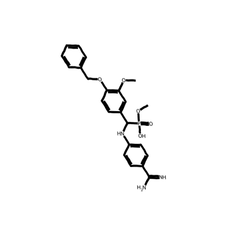 COc1cc(C(Nc2ccc(C(=N)N)cc2)P(=O)(O)OC)ccc1OCc1ccccc1